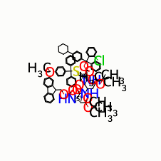 COc1ccc(C(SC[C@H](NC(=O)C(CC(=O)OC(C)(C)C)NC(=O)[C@H](CC(=O)OC(C)(C)C)NC(=O)OCC2c3ccccc3-c3ccccc32)C(=O)OC(c2ccccc2)(c2ccc(C3CCCCC3)cc2)c2ccccc2Cl)(c2ccccc2)c2ccccc2)cc1